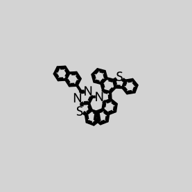 c1ccc2cc(-c3nc(-n4c5c6ccccc6ccc5c5c6c7ccccc7sc6c6ccccc6c54)c4c(n3)sc3ccccc34)ccc2c1